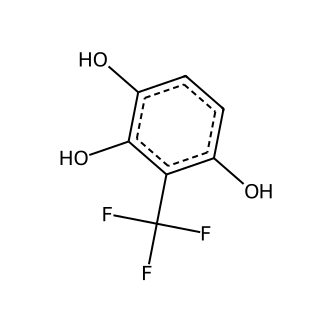 Oc1ccc(O)c(C(F)(F)F)c1O